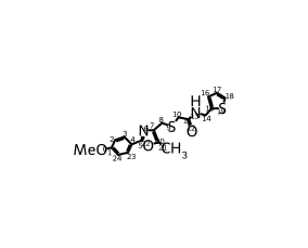 COc1ccc(-c2nc(CSCC(=O)NCc3cccs3)c(C)o2)cc1